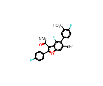 CCCc1cc2oc(-c3ccc(F)cc3)c(C(=O)NC)c2c(F)c1-c1ccc(F)c(C(=O)O)c1